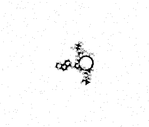 CC[C@@H]1C[C@@H](C)CC/C=C\[C@@H]2C[C@@]2(C(=O)NS(=O)(=O)C2(CF)CC2)NC(=O)[C@@H]2C[C@@H](Oc3nccc4c5c(ccc34)OCCO5)CN2C(=O)[C@H]1NC(=O)OC(C)(C)C(C)(F)F